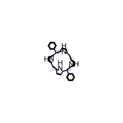 C1=CC2N/C1=C\c1ccc([nH]1)/C(c1ccccc1)=C1/C=CC(/C=c3/cc/c([nH]3)=C/2c2ccccc2)N1